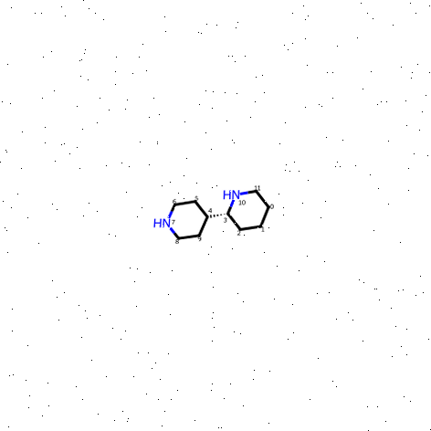 C1CC[C@H](C2CCNCC2)NC1